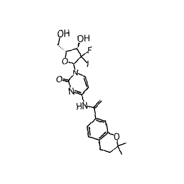 C=C(Nc1ccn(C2O[C@H](CO)[C@@H](O)C2(F)I)c(=O)n1)c1ccc2c(c1)OC(C)(C)CC2